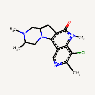 Cc1ncc2c3c(c(=O)n(C)c2c1Cl)CC1CN(C)C(C)CN31